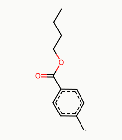 [CH]c1ccc(C(=O)OCCCC)cc1